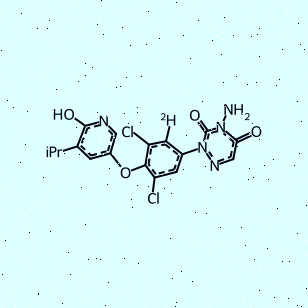 [2H]c1c(-n2ncc(=O)n(N)c2=O)cc(Cl)c(Oc2cnc(O)c(C(C)C)c2)c1Cl